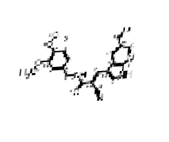 COc1ccc(CNC(=O)/C(C#N)=C/c2c[nH]c3ncc(C=O)cc23)cc1OC